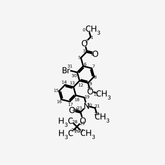 CCOC(=O)Cc1ccc(OC)c(-c2ccccc2CN(CC)C(=O)OC(C)(C)C)c1Br